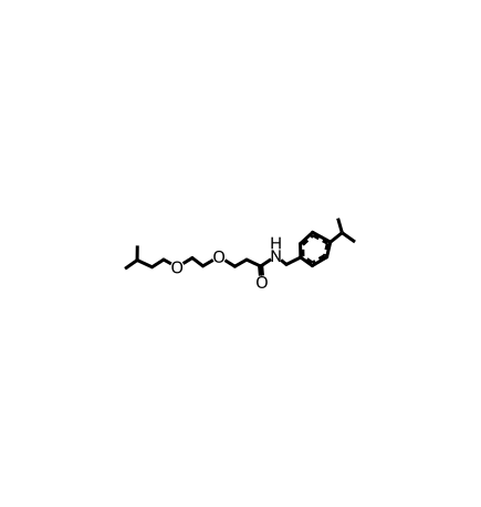 CC(C)CCOCCOCCC(=O)NCc1ccc(C(C)C)cc1